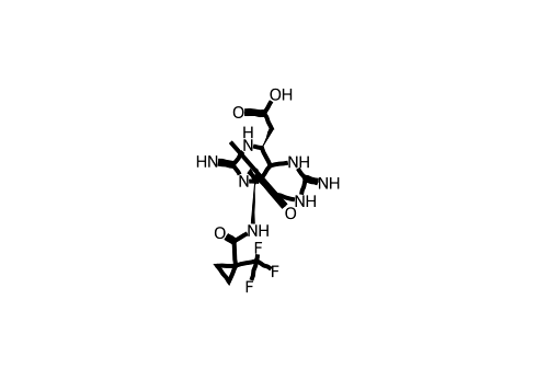 N=C1NC[C@@]23C(=O)[C@@H](NC(=O)C4(C(F)(F)F)CC4)CN2C(=N)N[C@@H](CC(=O)O)C3N1